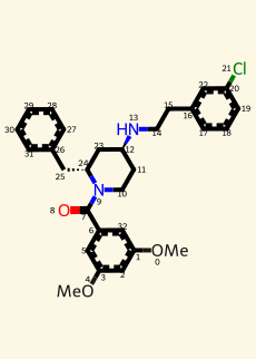 COc1cc(OC)cc(C(=O)N2CC[C@H](NCCc3cccc(Cl)c3)C[C@H]2Cc2ccccc2)c1